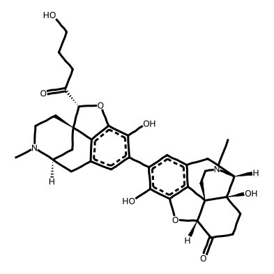 CN1CC[C@]23C[C@H]1Cc1cc(-c4cc5c6c(c4O)O[C@H]4C(=O)CC[C@@]7(O)[C@@H](C5)N(C)CC[C@]647)c(O)c(c12)O[C@H]3C(=O)CCCO